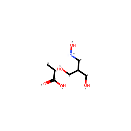 CCC(=O)O.OCC(CO)CNO